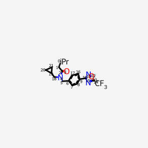 CC(C)CC(=O)N(Cc1ccc(-c2noc(C(F)(F)F)n2)cc1)CC1CC1